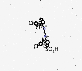 O=S(=O)(O)c1cc2c(s1)-c1c(c(/C(F)=C/CCC/C=C(\F)c3nn(-c4ccc(Cl)cc4Cl)c4c3CCc3ccsc3-4)nn1-c1ccc(Cl)cc1Cl)CC2